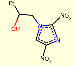 CCC(O)Cn1cc([N+](=O)[O-])nc1[N+](=O)[O-]